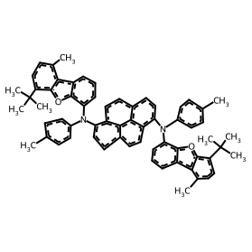 Cc1ccc(N(c2ccc3ccc4c(N(c5ccc(C)cc5)c5cccc6c5oc5c(C(C)(C)C)ccc(C)c56)ccc5ccc2c3c54)c2cccc3c2oc2c(C(C)(C)C)ccc(C)c23)cc1